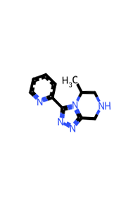 CC1CNCc2nnc(-c3ccccn3)n21